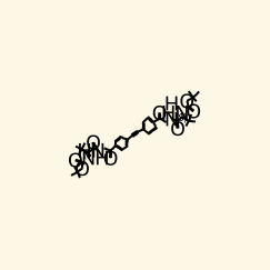 CC(C)(C)OC(=O)N[C@H](C(=O)NCC(=O)c1ccc(C#Cc2ccc(C(=O)CNC(=O)[C@@H](NC(=O)OC(C)(C)C)C(C)(C)C)cc2)cc1)C(C)(C)C